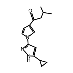 CC(C)CC(=O)c1ccn(-c2cc(C3CC3)[nH]n2)c1